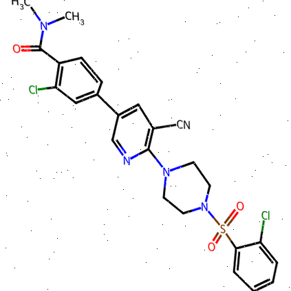 CN(C)C(=O)c1ccc(-c2cnc(N3CCN(S(=O)(=O)c4ccccc4Cl)CC3)c(C#N)c2)cc1Cl